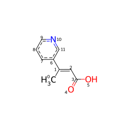 CC(=CC(=O)O)c1cccnc1